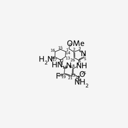 COCc1cncc(Nc2nc(NC3CCCCC3N)c(F)cc2C(N)=O)c1